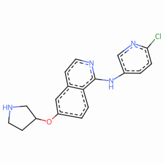 Clc1ccc(Nc2nccc3cc(OC4CCNC4)ccc23)cn1